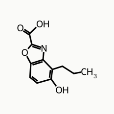 CCCc1c(O)ccc2oc(C(=O)O)nc12